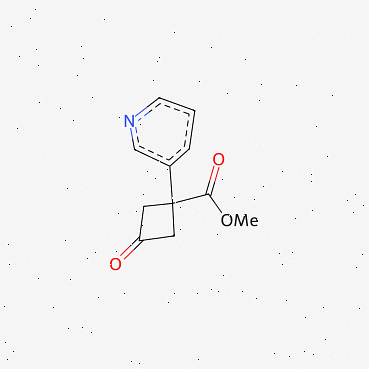 COC(=O)C1(c2cccnc2)CC(=O)C1